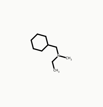 CCN(C)CC1CCCCC1